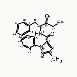 Cc1cc(C(=O)N[C@@H](Cc2ccccc2)C(=O)CF)n(-c2ccccn2)n1